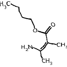 CCCCOC(=O)C(C)=C(C)N